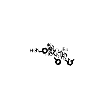 CC[C@H](C)[C@@H](C(=O)N[C@@H](Cc1ccccc1)[C@H](O)CN(CC(C)C)S(=O)(=O)c1ccc(C=NO)cc1)N1CCN(Cc2cccc(C)n2)C1=O